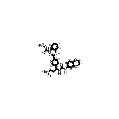 CCN(CC)CCC(NC(=O)Nc1ccc2c(c1)OCCO2)c1ccc(C(=O)Nc2ccccc2NC(=O)OC(C)(C)C)nc1